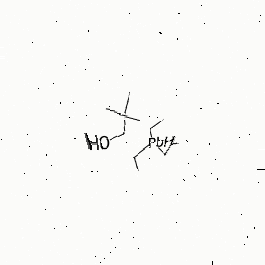 CC(C)(C)CO.C[CH2][PbH]([CH2]C)[CH2]C